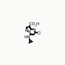 O=C(O)c1cnn2c(NC3CC3)cc(Cl)nc12